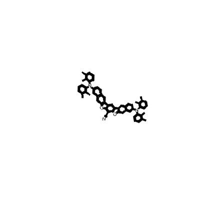 Cc1cccc(N(c2ccc3cc4c(cc3c2)oc2c(C#N)c3oc5cc6cc(N(c7cccc(C)c7C)c7cccc(C)c7C)ccc6cc5c3cc24)c2cccc(C)c2C)c1C